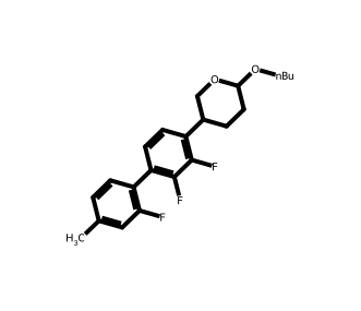 CCCCOC1CCC(c2ccc(-c3ccc(C)cc3F)c(F)c2F)CO1